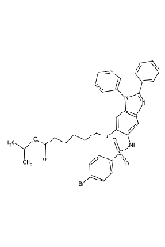 CC(C)OC(=O)CCCCCOc1cc2c(cc1NS(=O)(=O)c1ccc(Br)cc1)nc(-c1ccccc1)n2-c1ccccc1